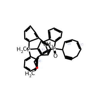 C=C/C=C\C=C(/C)P(=O)(c1ccccc1Cc1ccccc1P(=C)(c1ccccc1)c1ccccc1)C1C#CC/C=C\C=C/1